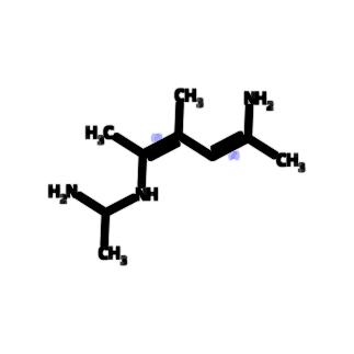 C/C(N)=C/C(C)=C(/C)NC(C)N